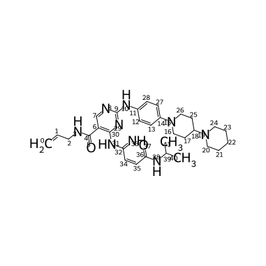 C=CCNC(=O)c1cnc(Nc2ccc(N3CCC(N4CCCCC4)CC3)cc2)nc1NC(=N)/C=C\C(=O)NC(C)C